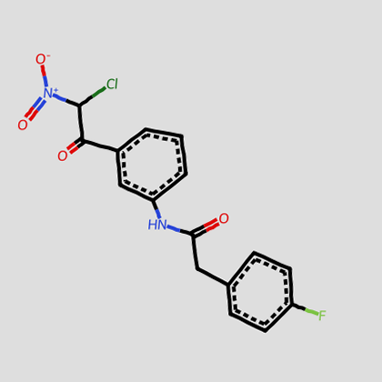 O=C(Cc1ccc(F)cc1)Nc1cccc(C(=O)C(Cl)[N+](=O)[O-])c1